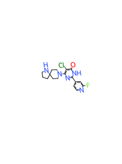 O=c1[nH]c(-c2ccnc(F)c2)nc(N2CCC3(CCCN3)CC2)c1Cl